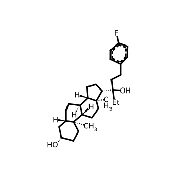 CCC(O)(CCc1ccc(F)cc1)[C@H]1CC[C@H]2[C@@H]3CC[C@H]4C[C@@H](O)CC[C@]4(C)[C@H]3CC[C@]12C